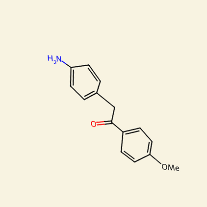 COc1ccc(C(=O)Cc2ccc(N)cc2)cc1